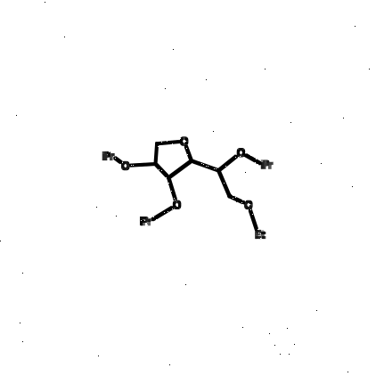 CCOCC(OC(C)C)C1OCC(OC(C)C)C1OC(C)C